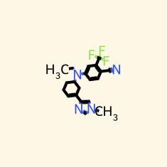 CCN(c1ccc(C#N)c(C(F)(F)F)c1)C1CCC=C(c2cn(C)cn2)C1